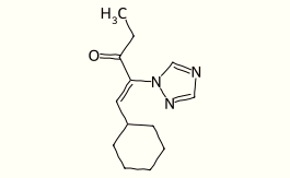 CCC(=O)C(=CC1CCCCC1)n1cncn1